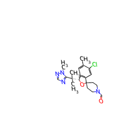 Cc1cc2c(cc1Cl)C1(CCN(C=O)CC1)O[C@@H]2C(C)(C)c1ncnn1C